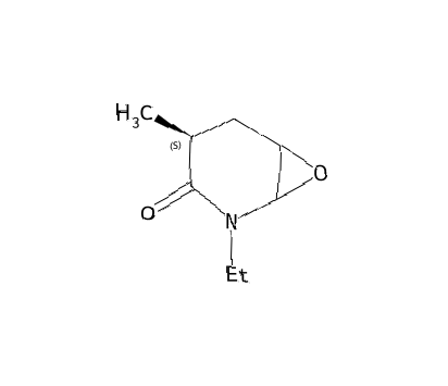 CCN1C(=O)[C@@H](C)CC2OC21